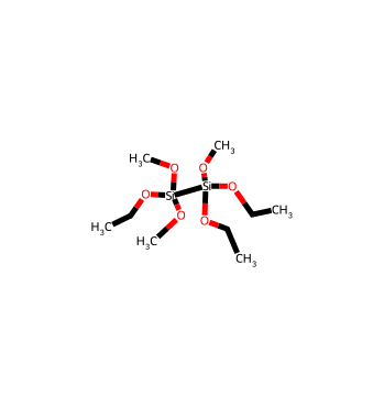 CCO[Si](OC)(OC)[Si](OC)(OCC)OCC